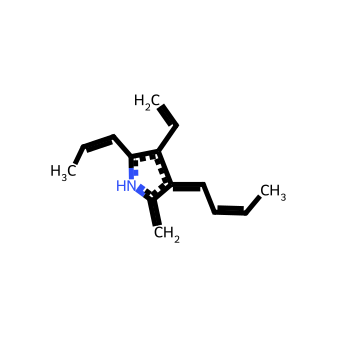 C=Cc1c(/C=C\C)[nH]c(=C)/c1=C\C=C/C